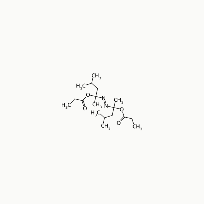 CCC(=O)OC(C)(CC(C)C)N=NC(C)(CC(C)C)OC(=O)CC